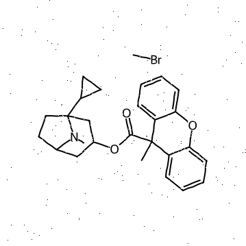 CBr.CN1C2CCC1(C1CC1)CC(OC(=O)C1(C)c3ccccc3Oc3ccccc31)C2